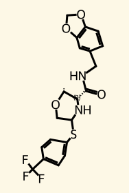 O=C(NCc1ccc2c(c1)OCO2)[C@H]1[CH]OCC(Sc2ccc(C(F)(F)F)cc2)N1